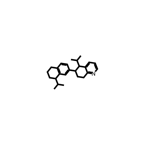 CC(C)C1CCCc2ccc(C3CCc4ncccc4C3C(C)C)cc21